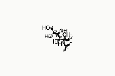 CC(=O)NC(O)(C=O)C(O)C(O)C(O)CO